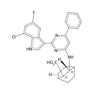 O=C(O)[C@@H]1C2CCC(CC2)[C@H]1Nc1cc(-c2ccccc2)nc(-c2c[nH]c3c(Cl)cc(F)cc23)n1